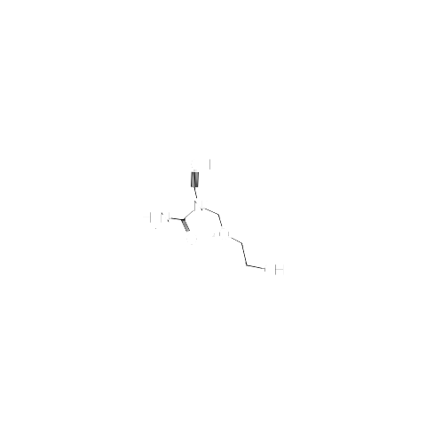 C#CN(COCCC)C(N)=O